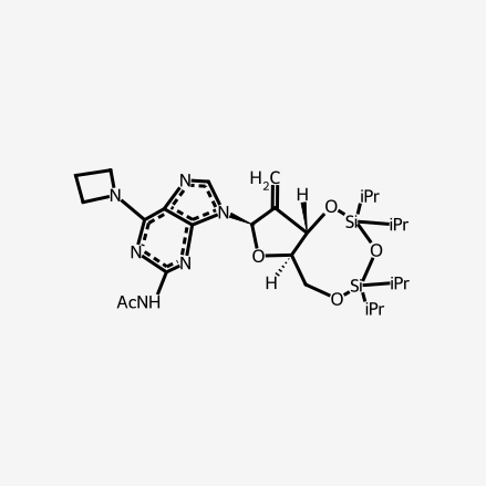 C=C1[C@H](n2cnc3c(N4CCC4)nc(NC(C)=O)nc32)O[C@@H]2CO[Si](C(C)C)(C(C)C)O[Si](C(C)C)(C(C)C)O[C@@H]12